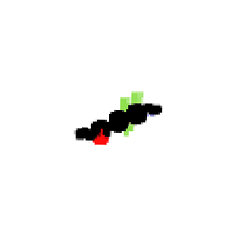 C/C=C/c1ccc(-c2ccc(C3CCC(CCC)OC3)cc2F)c(F)c1F